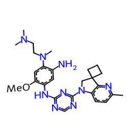 COc1cc(N(C)CCN(C)C)c(N)cc1Nc1ncnc(N2CC3(CCC3)c3nc(C)ccc32)n1